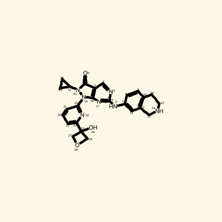 O=c1c2cnc(Nc3ccc4c(c3)CNCC4)nc2n(-c2cccc(C3(O)COC3)n2)n1C1CC1